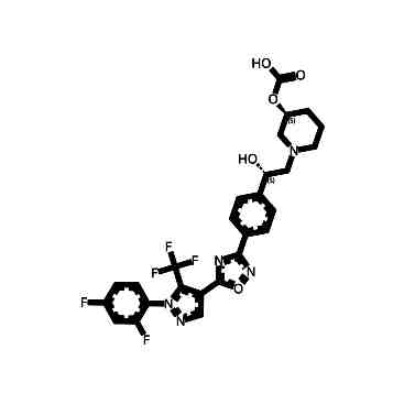 O=C(O)O[C@H]1CCCN(C[C@@H](O)c2ccc(-c3noc(-c4cnn(-c5ccc(F)cc5F)c4C(F)(F)F)n3)cc2)C1